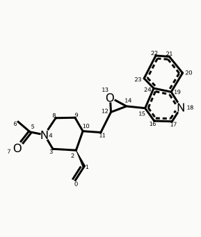 C=C[C@H]1CN(C(C)=O)CCC1CC1OC1c1ccnc2ccccc12